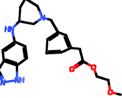 COCCOC(=O)Cc1cccc(CN2CCCC(Nc3ccc4[nH]ncc4c3)C2)c1